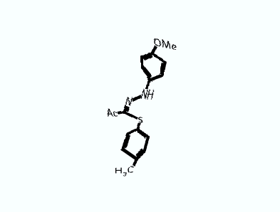 COc1ccc(NN=C(Sc2ccc(C)cc2)C(C)=O)cc1